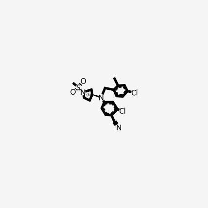 Cc1cc(Cl)ccc1CN(c1ccc(C#N)c(Cl)c1)[C@H]1CCN(S(C)(=O)=O)C1